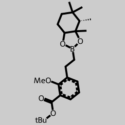 COc1c(CCB2OC3CCC(C)(C)[C@H](C)C3(C)O2)cccc1C(=O)OC(C)(C)C